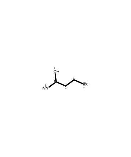 CCCC(O)CCC(C)CC